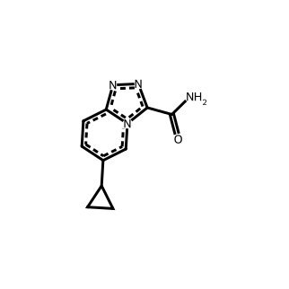 NC(=O)c1nnc2ccc(C3CC3)cn12